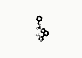 Cn1cncc1-c1cccc2c1CN(C(=O)OCc1ccccc1)C2